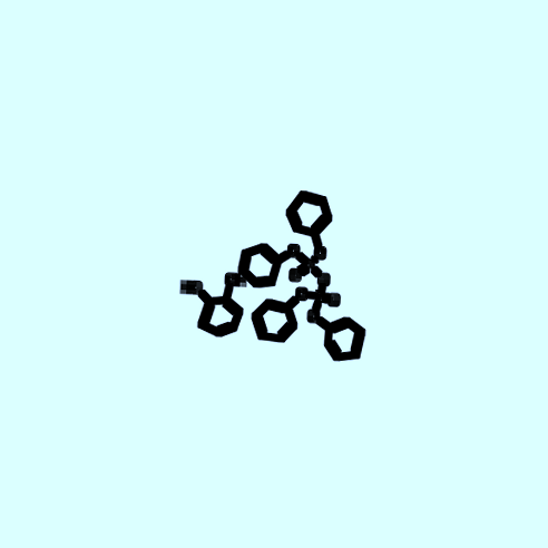 O=P(Oc1ccccc1)(Oc1ccccc1)OP(=O)(Oc1ccccc1)Oc1ccccc1.Oc1ccccc1O